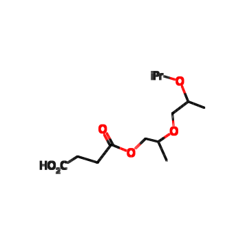 CC(C)OC(C)COC(C)COC(=O)CCC(=O)O